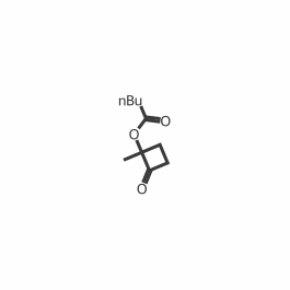 CCCCC(=O)OC1(C)CCC1=O